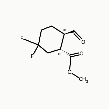 COC(=O)[C@@H]1CC(F)(F)CC[C@H]1C=O